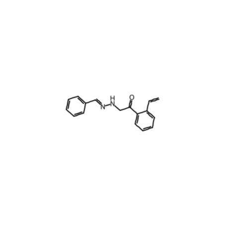 C=Cc1ccccc1C(=O)CNN=Cc1ccccc1